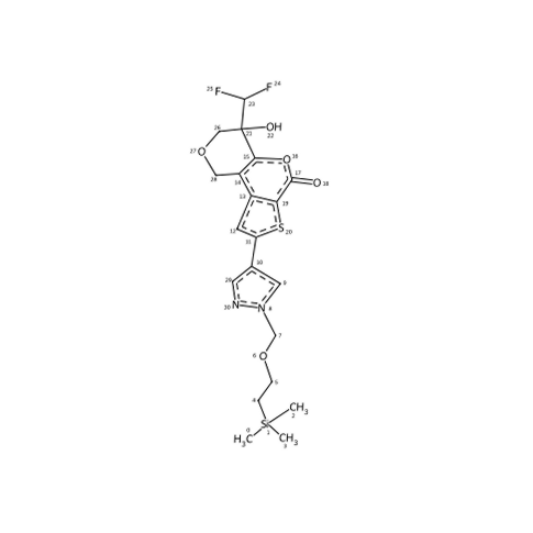 C[Si](C)(C)CCOCn1cc(-c2cc3c4c(oc(=O)c3s2)C(O)(C(F)F)COC4)cn1